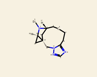 CCN1[C@@H]2CCCCc3ncnn3C[C@]3(C2)C[C@@H]13